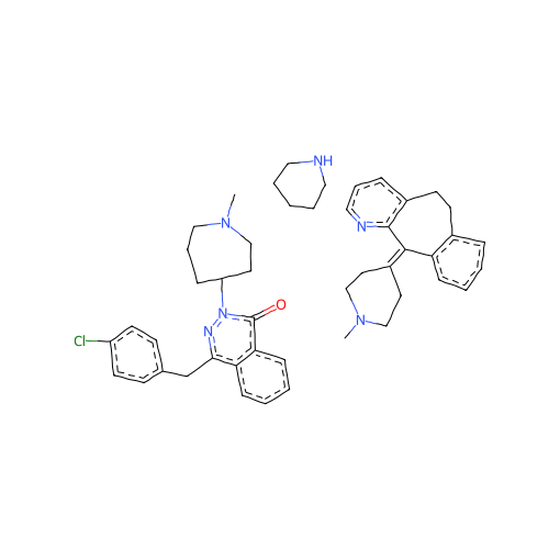 C1CCNCC1.CN1CCC(=C2c3ccccc3CCc3cccnc32)CC1.CN1CCCC(n2nc(Cc3ccc(Cl)cc3)c3ccccc3c2=O)CC1